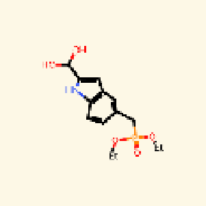 CCOP(=O)(Cc1ccc2[nH]c(C(O)O)cc2c1)OCC